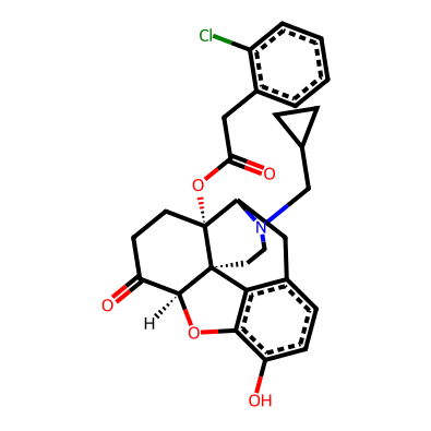 O=C(Cc1ccccc1Cl)O[C@@]12CCC(=O)[C@@H]3Oc4c(O)ccc5c4[C@@]31CCN(CC1CC1)C2C5